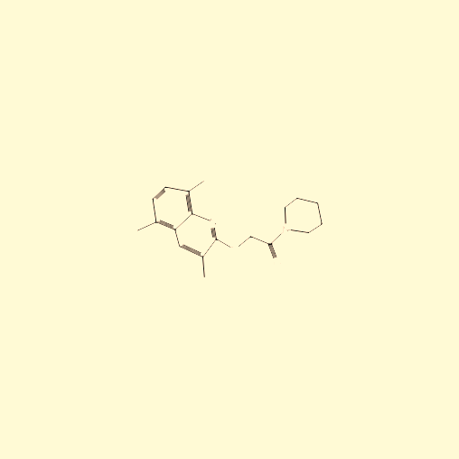 Cc1cc2c(C)ccc(C)c2nc1SCC(=O)N1CCCCC1